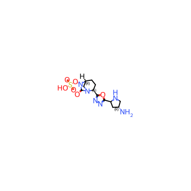 N[C@H]1CNC(c2nnc([C@@H]3CC[C@@H]4CN3C(=O)N4OS(=O)(=O)O)o2)C1